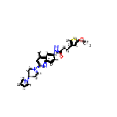 Cc1cc(N2CCC(N3CCCC3)CC2)nc2ccc(NC(=O)CCc3csc(OC(F)(F)F)c3)cc12